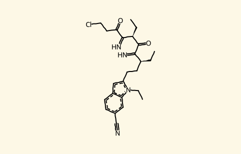 CC[C@@H](CCc1cc2ccc(C#N)cc2n1CC)C(=N)C(=O)[C@H](CC)C(=N)C(=O)CCCl